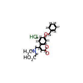 CN(CC(=O)O)Cc1cc(=O)oc2cc(OCc3ccccc3)ccc12.Cl